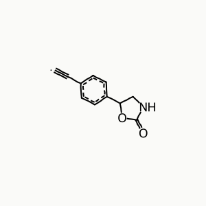 [C]#Cc1ccc(C2CNC(=O)O2)cc1